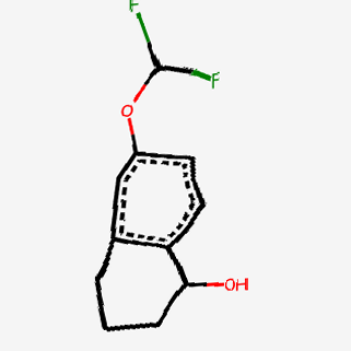 OC1CCCc2cc(OC(F)F)ccc21